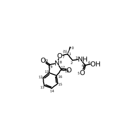 C[C@@H](CNC(=O)O)ON1C(=O)c2ccccc2C1=O